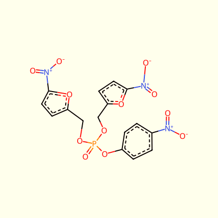 O=[N+]([O-])c1ccc(OP(=O)(OCc2ccc([N+](=O)[O-])o2)OCc2ccc([N+](=O)[O-])o2)cc1